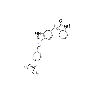 CN(C)CC1=CCC(/C=C/c2n[nH]c3cc(C4C[C@@]45C(=O)NC4=C5CCC=C4)ccc23)C=C1